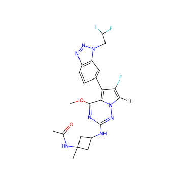 [2H]c1c(F)c(-c2ccc3nnn(CC(F)F)c3c2)c2c(OC)nc(NC3CC(C)(NC(C)=O)C3)nn12